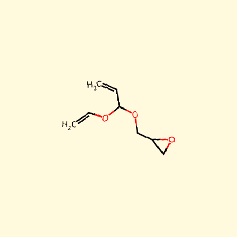 C=COC(C=C)OCC1CO1